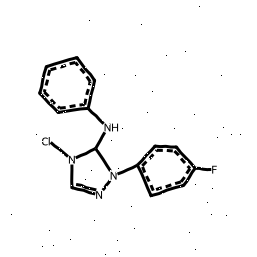 Fc1ccc(N2N=CN(Cl)C2Nc2ccccc2)cc1